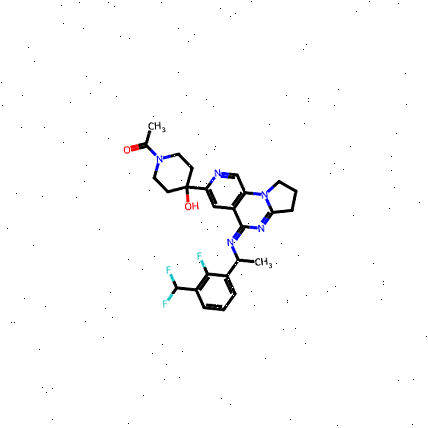 CC(=O)N1CCC(O)(c2cc3/c(=N/C(C)c4cccc(C(F)F)c4F)nc4n(c3cn2)CCC4)CC1